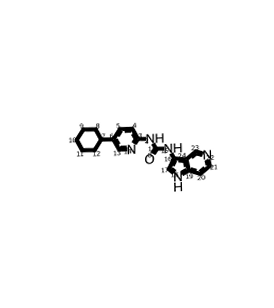 O=C(Nc1ccc(C2CCCCC2)cn1)Nc1c[nH]c2ccncc12